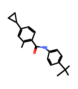 Cc1cc(C2CC2)ccc1C(=O)Nc1ccc(C(C)(C)C)cc1